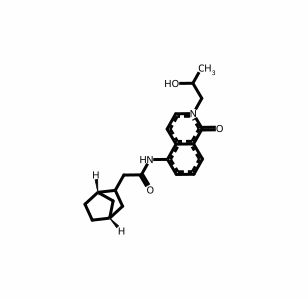 CC(O)Cn1ccc2c(NC(=O)CC3C[C@@H]4CC[C@H]3C4)cccc2c1=O